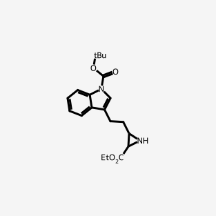 CCOC(=O)C1NC1CCc1cn(C(=O)OC(C)(C)C)c2ccccc12